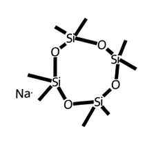 C[Si]1(C)O[Si](C)(C)O[Si](C)(C)O[Si](C)(C)O1.[Na]